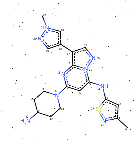 Cc1cc(Nc2cc(N3CCC(N)CC3)nc3c(-c4cnn(C)c4)cnn23)sn1